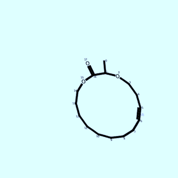 CC1OCC/C=C\CCCCCCCCOC1=O